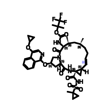 C[C@@H]1CC/C=C/[C@@H]2C[C@@]2(C(=O)NS(=O)(=O)C2(C)CC2)NC(=O)[C@@H]2C[C@@H](Oc3ncc(OC4CC4)c4ccccc34)CN2C(=O)[C@@H](NC(=O)OC(C)(C)C(F)(F)F)[C@H](C)C1